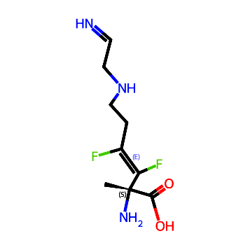 C[C@](N)(C(=O)O)/C(F)=C(\F)CCNCC=N